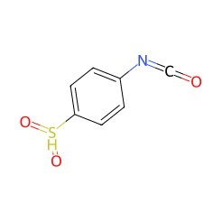 O=C=Nc1ccc([SH](=O)=O)cc1